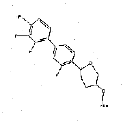 CCCCOC1CCC(c2ccc(-c3ccc(CCC)c(F)c3F)cc2F)OC1